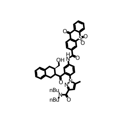 CCCCN(CCCC)C(=O)c1cc(C)n(-c2ccc(NC(=O)c3ccc4c(c3)S(=O)(=O)c3ccccc3C4=O)cc2C(=O)C2Cc3ccccc3C[C@H]2CO)n1